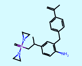 C=C(C)c1ccc(Cc2cc(C(C)CP(=C)(N3CC3)N3CC3)ccc2N)cc1